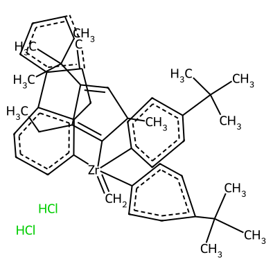 Cl.Cl.[CH2]=[Zr]([C]1=C(CC)C(C(C)(C)C)=CC1C)([c]1ccc(C(C)(C)C)cc1)([c]1ccc(C(C)(C)C)cc1)[c]1cccc2c1Cc1ccccc1-2